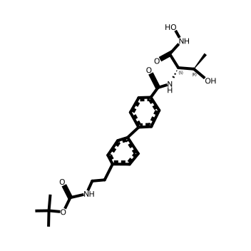 C[C@@H](O)[C@H](NC(=O)c1ccc(-c2ccc(CCNC(=O)OC(C)(C)C)cc2)cc1)C(=O)NO